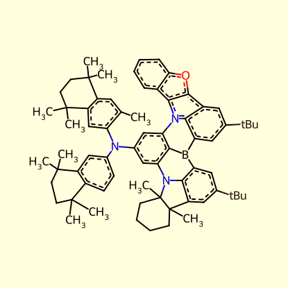 Cc1cc2c(cc1N(c1cc3c4c(c1)-n1c5c(cc(C(C)(C)C)cc5c5oc6ccccc6c51)B4c1cc(C(C)(C)C)cc4c1N3C1(C)CCCCC41C)c1ccc3c(c1)C(C)(C)CCC3(C)C)C(C)(C)CCC2(C)C